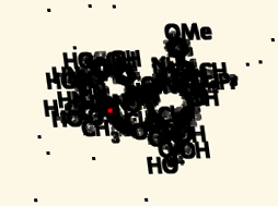 COc1ccc(CCC(=O)N(C)[C@H](CC(C)C)C(=O)NC2C(=O)NC(CC(N)=O)C(=O)NC3C(=O)N[C@H]4C(=O)N[C@H](C(=O)NC(C(=O)O)c5cc(O)cc(O)c5-c5cc4ccc5O)[C@H](O[C@H]4CC(C)(NCc5c[nH]cn5)[C@@H](O)C(C)O4)c4ccc(c(Cl)c4)Oc4cc3cc(c4O[C@@H]3O[C@H](CO)C(O)[C@H](O)C3O)Oc3ccc(cc3Cl)C2O)cc1